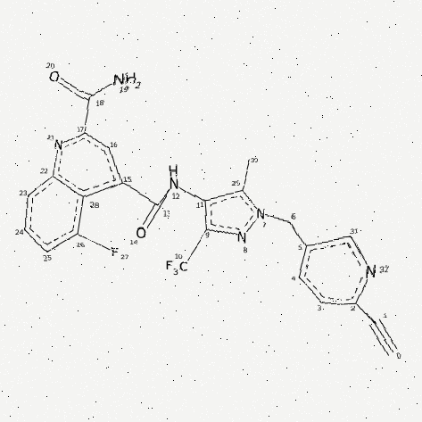 C#Cc1ccc(Cn2nc(C(F)(F)F)c(NC(=O)c3cc(C(N)=O)nc4cccc(F)c34)c2C)cn1